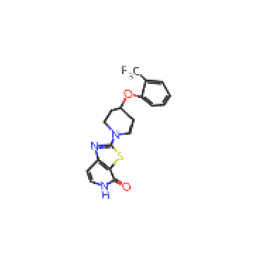 O=c1[nH]ccc2nc(N3CCC(Oc4ccccc4C(F)(F)F)CC3)sc12